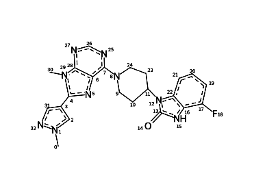 Cn1cc(-c2nc3c(N4CCC(n5c(=O)[nH]c6c(F)cccc65)CC4)ncnc3n2C)cn1